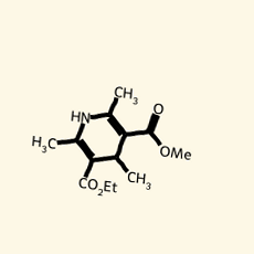 CCOC(=O)C1=C(C)NC(C)=C(C(=O)OC)C1C